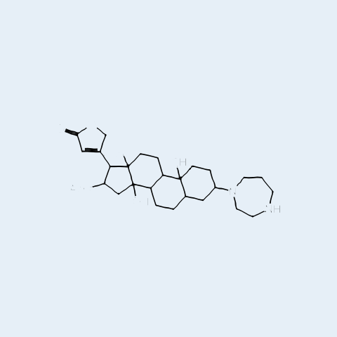 CC(=O)OC1CC2(O)C3CCC4CC(N5CCCNCC5)CCC4(C)C3CCC2(C)C1C1=CC(=O)OC1